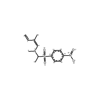 C=C/C(C)=C\N(C)C(C)S(=O)(=O)c1ccc([N+](=O)[O-])cc1